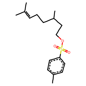 CC(C)=CCCC(C)CCOS(=O)(=O)c1ccc(C)cc1